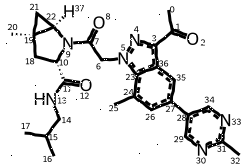 CC(=O)c1nn(CC(=O)N2[C@H](C(=O)NCC(C)C)C[C@@]3(C)C[C@@H]23)c2c(C)cc(-c3cnc(C)nc3)cc12